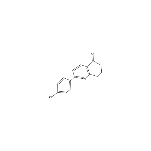 O=C1CCCc2nc(-c3ccc(Cl)cc3)ccc21